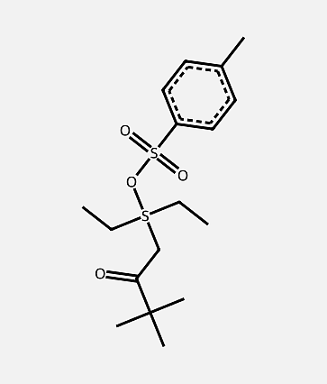 CCS(CC)(CC(=O)C(C)(C)C)OS(=O)(=O)c1ccc(C)cc1